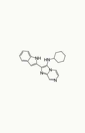 c1ccc2[nH]c(-c3nc4cnccn4c3NC3CCCCC3)cc2c1